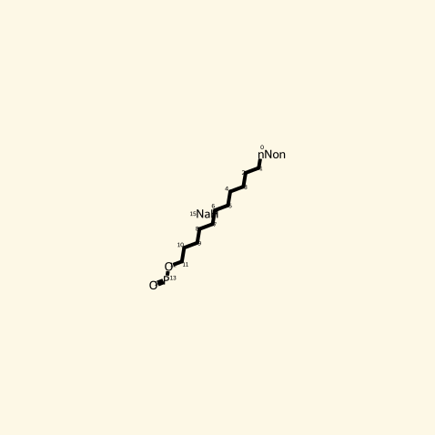 CCCCCCCCCCCCCCCCCCCCOP=O.[NaH]